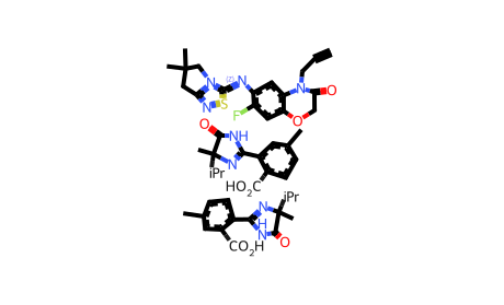 C#CCN1C(=O)COc2cc(F)c(/N=c3\snc4n3CC(C)(C)C4)cc21.Cc1ccc(C(=O)O)c(C2=NC(C)(C(C)C)C(=O)N2)c1.Cc1ccc(C2=NC(C)(C(C)C)C(=O)N2)c(C(=O)O)c1